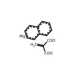 C=C(C(=O)[O-])C(=O)[O-].[Mg+2].c1ccc2ccccc2c1